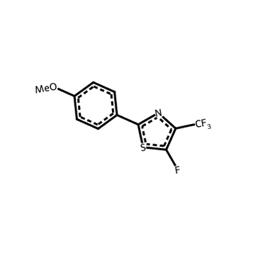 COc1ccc(-c2nc(C(F)(F)F)c(F)s2)cc1